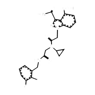 NC(=O)c1nn(CC(=O)N(CC(=O)NCc2cccc(Cl)c2F)C2CC2)c2cccc(C(=O)O)c12